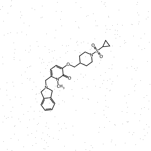 Cn1c(CN2Cc3ccccc3C2)ccc(OCC2CCN(S(=O)(=O)C3CC3)CC2)c1=O